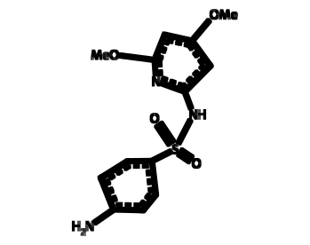 COc1cc(NS(=O)(=O)c2ccc(N)cc2)nc(OC)c1